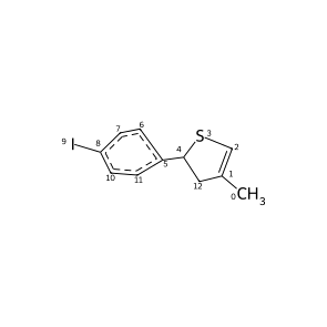 CC1=CSC(c2ccc(I)cc2)C1